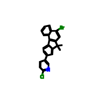 CC1(C)c2cc(-c3ccc(Cl)nc3)ccc2-c2c1cc(Br)c1ccccc21